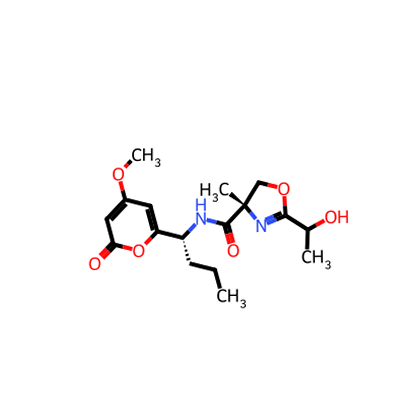 CCC[C@@H](NC(=O)[C@]1(C)COC(C(C)O)=N1)c1cc(OC)cc(=O)o1